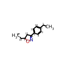 CCc1ccc(C2=NOC(CC)C2)cc1